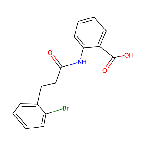 O=C(CCc1ccccc1Br)Nc1ccccc1C(=O)O